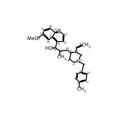 C=CC1CN(Cc2ccc(C)cc2)CCC1CC(C)C(O)c1ccnc2ccc(OC)cc12